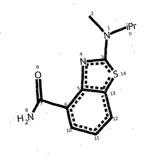 CC(C)N(C)c1nc2c(C(N)=O)c[c]cc2s1